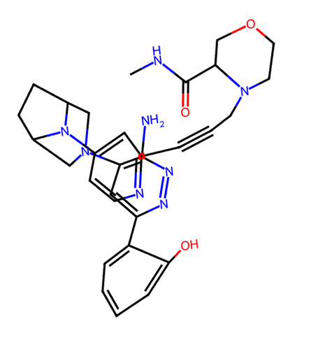 CNC(=O)C1COCCN1CC#Cc1cc(N2C3CCC2CN(c2cc(-c4ccccc4O)nnc2N)C3)ccn1